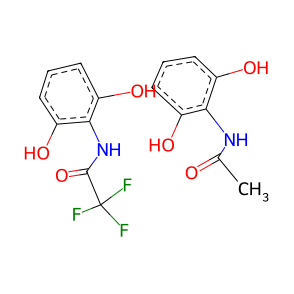 CC(=O)Nc1c(O)cccc1O.O=C(Nc1c(O)cccc1O)C(F)(F)F